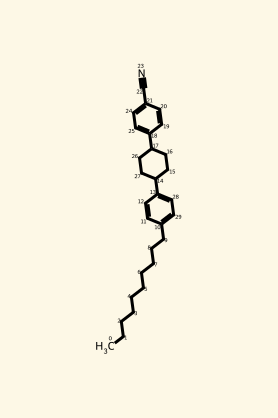 CCCCCCCCCCc1ccc(C2CCC(c3ccc(C#N)cc3)CC2)cc1